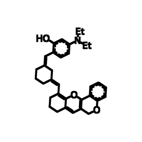 CCN(CC)c1ccc(/C=C2/CCC/C(=C\C3=C4OC5=C(C=C4CCC3)COc3ccccc35)C2)c(O)c1